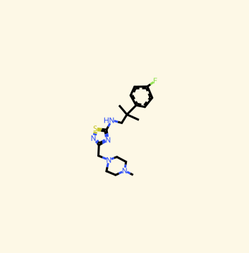 CN1CCN(Cc2nsc(NCC(C)(C)c3ccc(F)cc3)n2)CC1